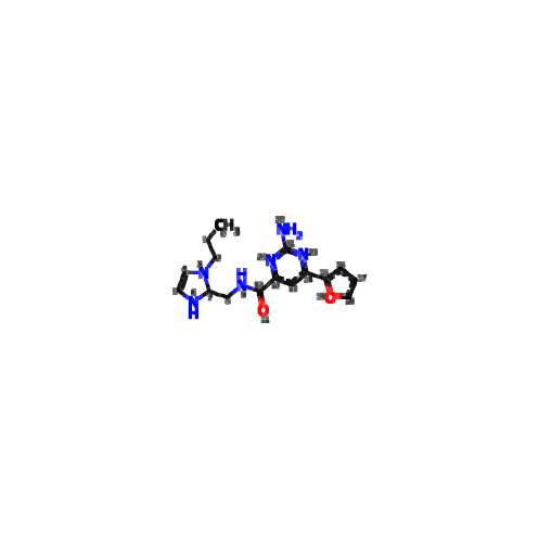 CCCN1C=CNC1CNC(=O)c1cc(-c2ccco2)nc(N)n1